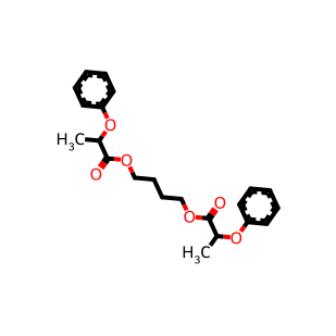 CC(Oc1ccccc1)C(=O)OCCCCOC(=O)C(C)Oc1ccccc1